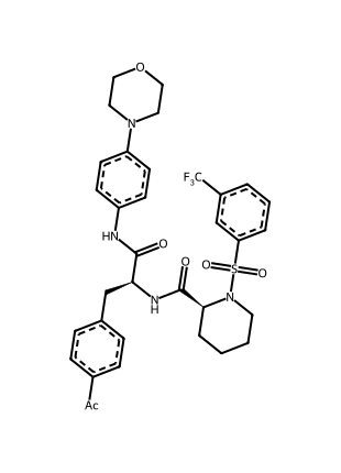 CC(=O)c1ccc(C[C@H](NC(=O)[C@@H]2CCCCN2S(=O)(=O)c2cccc(C(F)(F)F)c2)C(=O)Nc2ccc(N3CCOCC3)cc2)cc1